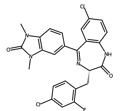 Cn1c(=O)n(C)c2cc(C3=N[C@@H](Cc4ccc(Cl)cc4F)C(=O)Nc4ccc(Cl)cc43)ccc21